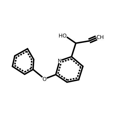 C#CC(O)c1cccc(Oc2ccccc2)n1